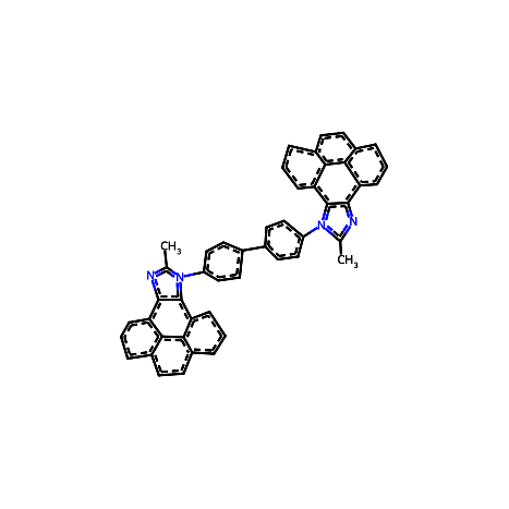 Cc1nc2c3cccc4ccc5cccc(c5c43)c2n1-c1ccc(-c2ccc(-n3c(C)nc4c5cccc6ccc7cccc(c7c65)c43)cc2)cc1